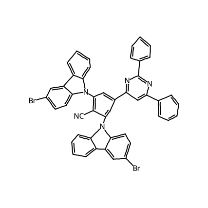 N#Cc1c(-n2c3ccccc3c3cc(Br)ccc32)cc(-c2cc(-c3ccccc3)nc(-c3ccccc3)n2)cc1-n1c2ccccc2c2cc(Br)ccc21